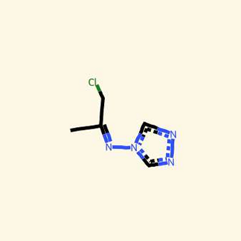 CC(CCl)=Nn1cnnc1